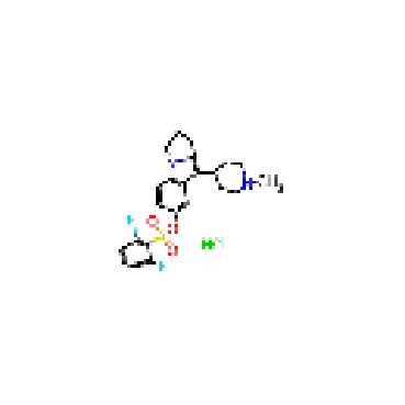 CN1CCC(c2c3n(c4ccc(OS(=O)(=O)c5c(F)cccc5F)cc24)CCC3)CC1.Cl